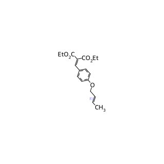 C/C=C/COc1ccc(C=C(C(=O)OCC)C(=O)OCC)cc1